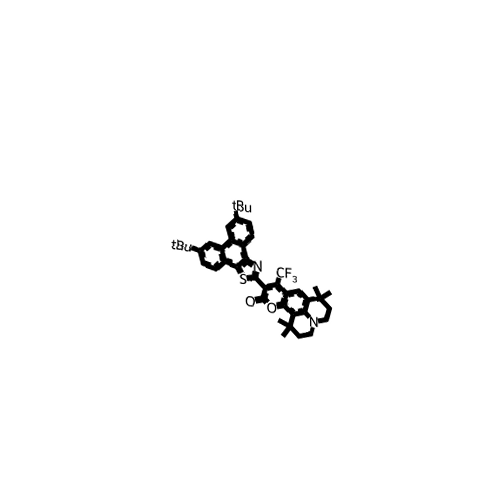 CC(C)(C)c1ccc2c(c1)c1cc(C(C)(C)C)ccc1c1sc(-c3c(C(F)(F)F)c4cc5c6c(c4oc3=O)C(C)(C)CCN6CCC5(C)C)nc21